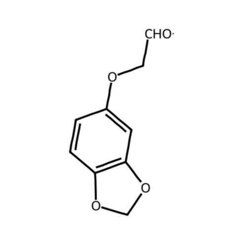 O=[C]COc1ccc2c(c1)OCO2